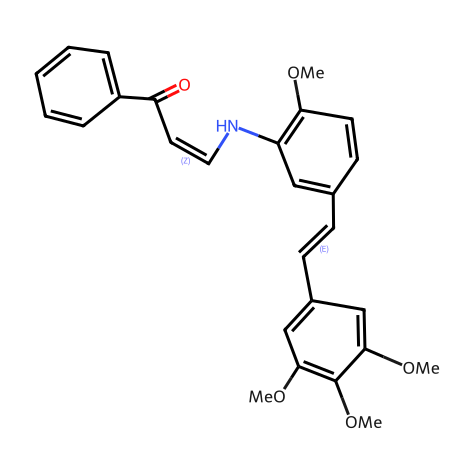 COc1ccc(/C=C/c2cc(OC)c(OC)c(OC)c2)cc1N/C=C\C(=O)c1ccccc1